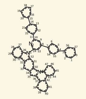 c1ccc(-c2ccc(-c3cc(-c4ccc(-c5ccccc5)cc4)nc(-n4c5ccccc5c5cc6cc7c8ccccc8c8ccccc8n7c6cc54)c3)cc2)cc1